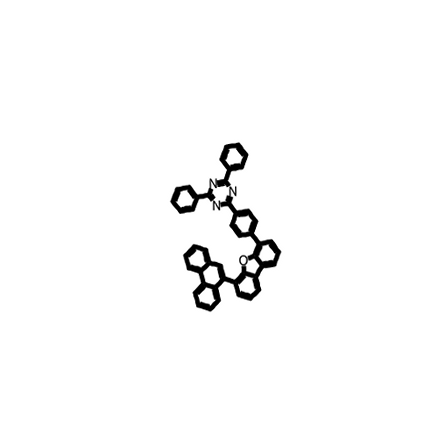 c1ccc(-c2nc(-c3ccccc3)nc(-c3ccc(-c4cccc5c4oc4c(-c6cc7ccccc7c7ccccc67)cccc45)cc3)n2)cc1